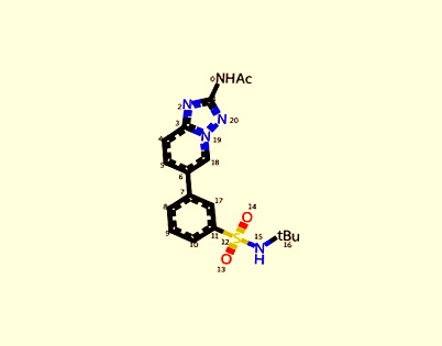 CC(=O)Nc1nc2ccc(-c3cccc(S(=O)(=O)NC(C)(C)C)c3)cn2n1